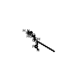 CCCCCCCCCCCCCCCCCC(COP(=O)(O)OC[C@]1(C)C[C@@H](O)[C@H](c2ccc3c(N)ncnn23)O1)OCc1cc(F)cc(C#N)c1